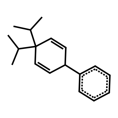 CC(C)C1(C(C)C)C=CC(c2ccccc2)C=C1